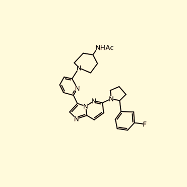 CC(=O)NC1CCN(c2cccc(-c3cnc4ccc(N5CCCC5c5cccc(F)c5)nn34)n2)CC1